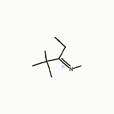 CC/C(=N\C)C(C)(C)C